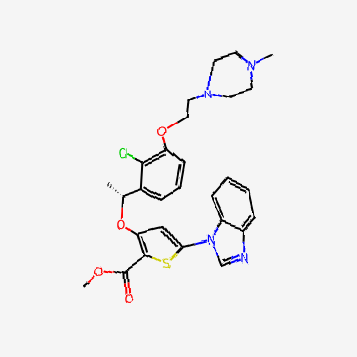 COC(=O)c1sc(-n2cnc3ccccc32)cc1O[C@H](C)c1cccc(OCCN2CCN(C)CC2)c1Cl